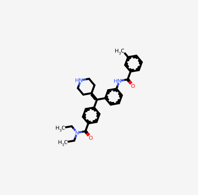 CCN(CC)C(=O)c1ccc(C(=C2CCNCC2)c2cccc(NC(=O)c3cccc(C)c3)c2)cc1